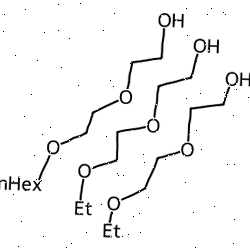 CCCCCCOCCOCCO.CCOCCOCCO.CCOCCOCCO